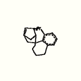 CCCc1cccc2c1C1(CCC2)CC2=CCC1C2